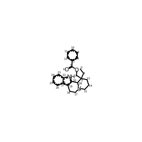 CCC1(COC(=O)c2ccccc2)CCCN2CCc3c([nH]c4ccccc34)C21